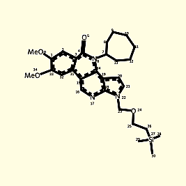 COc1cc2c(=O)n(C3CCCCCC3)c3c(cnc4c3ccn4COCC[Si](C)(C)C)c2cc1OC